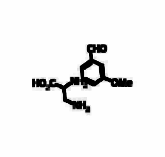 COc1cccc(C=O)c1.NCC(N)C(=O)O